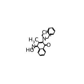 C=CN(Cc1ccccc1)C1=C(C)/C(=N/O)c2ccccc2C1=O